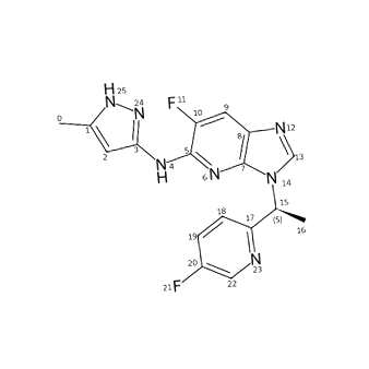 Cc1cc(Nc2nc3c(cc2F)ncn3[C@@H](C)c2ccc(F)cn2)n[nH]1